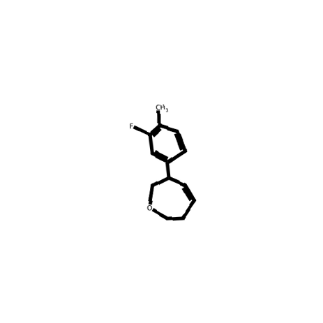 Cc1ccc(C2C=CCCOC2)cc1F